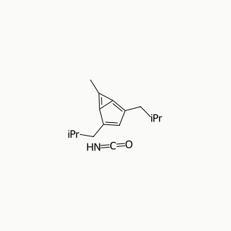 Cc1c2c(CC(C)C)cc(CC(C)C)c1-2.N=C=O